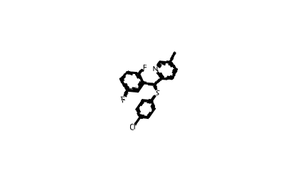 Cc1ccc(C(Sc2ccc(Cl)cc2)c2cc(F)ccc2F)nc1